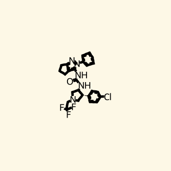 O=C(Nc1c2c(nn1-c1ccccc1)CCC2)NC1CN(CC(F)(F)F)C[C@H]1c1ccc(Cl)cc1